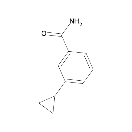 NC(=O)c1cccc(C2CC2)c1